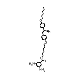 CCCCCCOc1ccc(C(C#N)=Cc2ccc(OCCCCCCOC(=O)c3cc(N)cc(N)c3)cc2)cc1